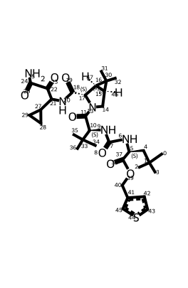 CC(C)(C)C[C@H](NC(=O)N[C@H](C(=O)N1C[C@H]2[C@@H]([C@H]1C(=O)NC(C(=O)C(N)=O)C1CC1)C2(C)C)C(C)(C)C)C(=O)OCc1ccsc1